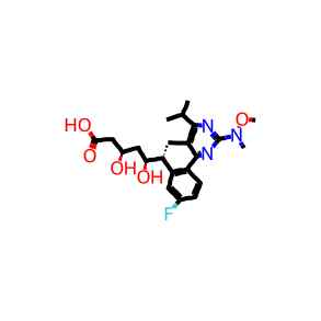 CON(C)c1nc2c(c(C(C)C)n1)C[C@@H]([C@@H](O)C[C@@H](O)CC(=O)O)c1cc(F)ccc1-2